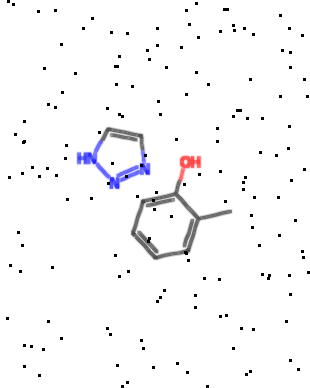 Cc1ccccc1O.c1c[nH]nn1